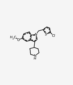 COc1ccc2c(c1)c(C1CCNCC1)cn2Cc1ccc(Cl)s1